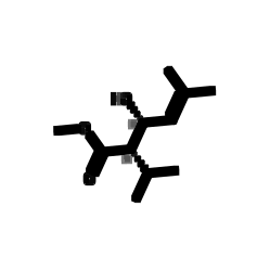 COC(=O)[C@@H](C(C)C)[C@H](O)C=C(C)C